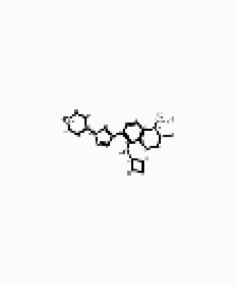 C[C@H]1CCc2c(ccc(-c3cnn(C4CCNCC4)c3)c2OC2CCC2)N1C(=O)O